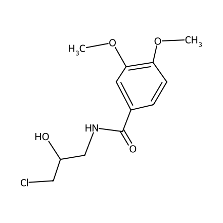 COc1ccc(C(=O)NCC(O)CCl)cc1OC